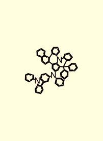 c1ccc(N(c2cc3c4c(c2)C(c2ccccc2)(c2ccccc2)c2ccccc2N4c2ccccc2-c2c-3ccc3ccccc23)c2ccc3c(c2)c2ccccc2n3-c2ccccc2)cc1